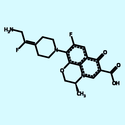 C[C@H]1COc2c(N3CCC(=C(F)CN)CC3)c(F)cc3c(=O)c(C(=O)O)cn1c23